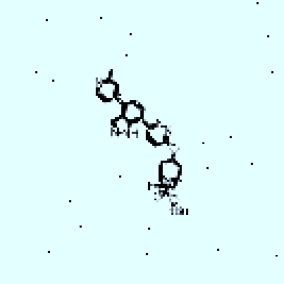 Cc1cc(-c2ccc(-c3ccc(OC4CC5CC(F)(F)C(C4)N5C(=O)OC(C)(C)C)nn3)c3[nH]ncc23)ccn1